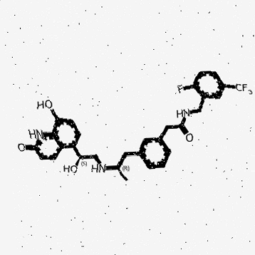 C[C@H](Cc1cccc(CC(=O)NCc2cc(C(F)(F)F)ccc2F)c1)NC[C@@H](O)c1ccc(O)c2[nH]c(=O)ccc12